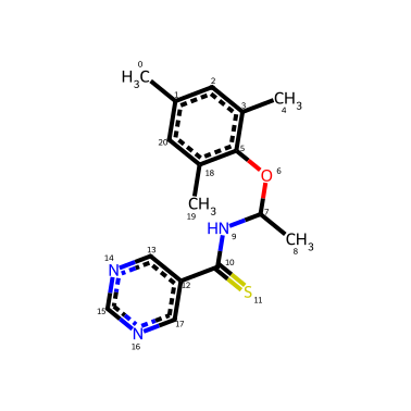 Cc1cc(C)c(OC(C)NC(=S)c2cncnc2)c(C)c1